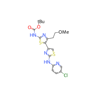 COCCc1nc(NC(=O)OC(C)(C)C)sc1-c1csc(Nc2ccc(Cl)cn2)n1